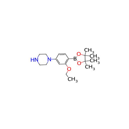 CCOc1cc(N2CCNCC2)ccc1B1OC(C)(C)C(C)(C)O1